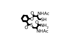 CC(=O)NC(CSC(=O)c1ccccc1OC(=O)C(CS)NC(C)=O)C(N)=O